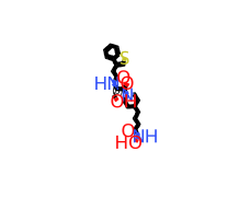 O=C(CCCC1CCN(C(=O)[C@H](CO)NC(=O)Cc2csc3ccccc23)CC1)NO